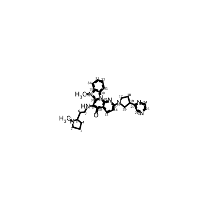 CN1CCCC1CCNc1c(=O)c2ccc(N3CCC(c4cnccn4)C3)nc2n2c3ccccc3n(C)c12